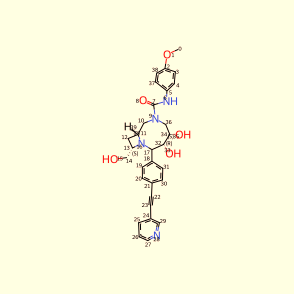 COc1ccc(NC(=O)N2C[C@H]3C[C@@H](CO)N3C(c3ccc(C#Cc4cccnc4)cc3)[C@@H](O)[C@@H](O)C2)cc1